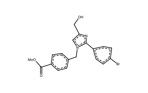 COC(=O)c1ccc(Cn2cc(CO)nc2-c2ccc(Br)cc2)cc1